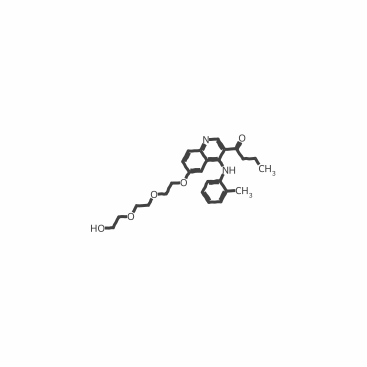 CCCC(=O)c1cnc2ccc(OCCOCCOCCO)cc2c1Nc1ccccc1C